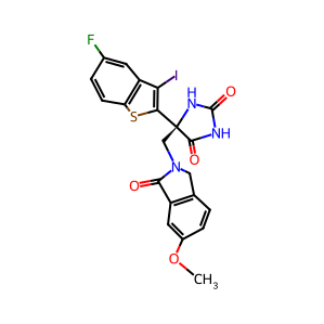 COc1ccc2c(c1)C(=O)N(C[C@@]1(c3sc4ccc(F)cc4c3I)NC(=O)NC1=O)C2